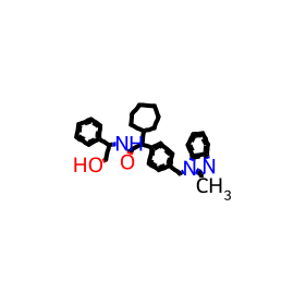 Cc1nc2ccccc2n1Cc1ccc(C(C(=O)NC(CO)c2ccccc2)C2CCCCCC2)cc1